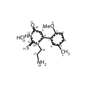 COc1ccc(C)cc1-c1cc(=O)[nH]c(=S)n1CCN.Cl